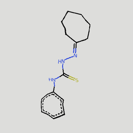 S=C(NN=C1CCCCCC1)Nc1ccccc1